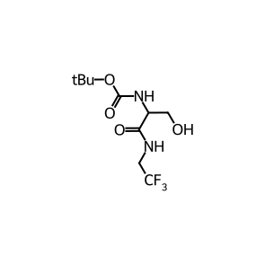 CC(C)(C)OC(=O)NC(CO)C(=O)NCC(F)(F)F